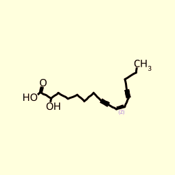 CCCC#C/C=C\C#CCCCCCC(O)C(=O)O